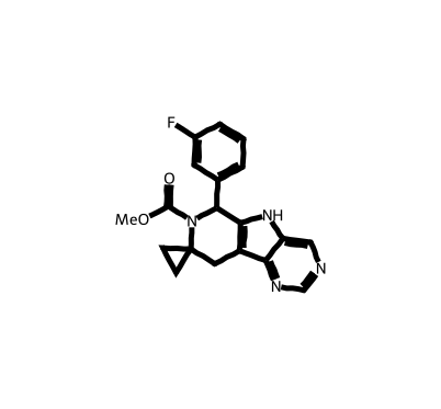 COC(=O)N1C(c2cccc(F)c2)c2[nH]c3cncnc3c2CC12CC2